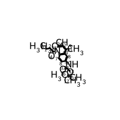 CCCC(=O)N1c2ccc(NC(=O)OC(C)(C)C)cc2C(C)=CC1(C)C